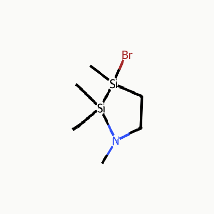 CN1CC[Si](C)(Br)[Si]1(C)C